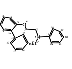 CCN(CCOc1ccccc1-c1ccccc1)c1ccccc1